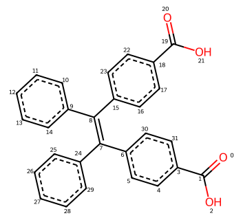 O=C(O)c1ccc(/C(=C(/c2ccccc2)c2ccc(C(=O)O)cc2)c2ccccc2)cc1